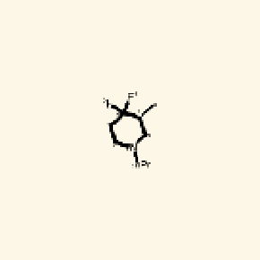 CCCN1CCC(F)(F)[C@@H](C)C1